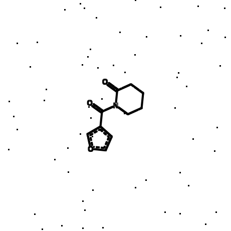 O=C1CCCCN1C(=O)c1ccoc1